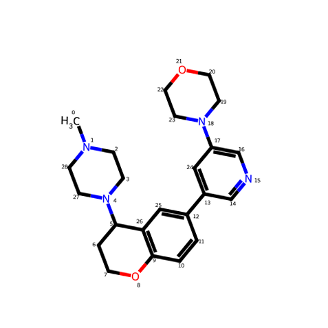 CN1CCN(C2CCOc3ccc(-c4cncc(N5CCOCC5)c4)cc32)CC1